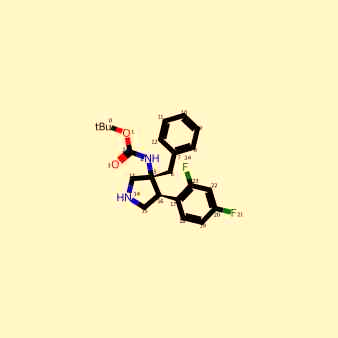 CC(C)(C)OC(=O)N[C@@]1(Cc2ccccc2)CNC[C@@H]1c1ccc(F)cc1F